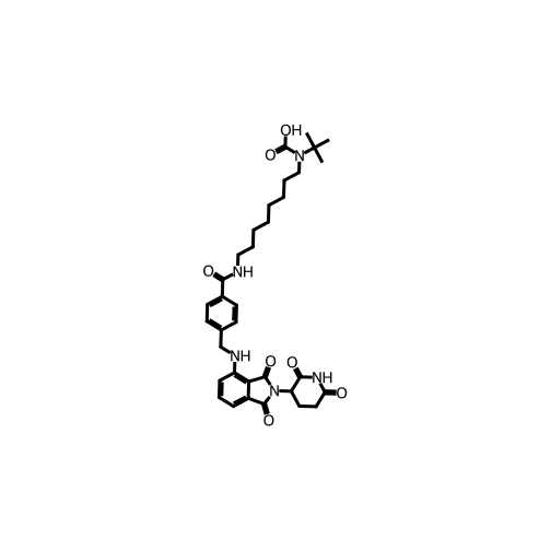 CC(C)(C)N(CCCCCCCCNC(=O)c1ccc(CNc2cccc3c2C(=O)N(C2CCC(=O)NC2=O)C3=O)cc1)C(=O)O